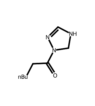 CCCCCC(=O)N1CNC=N1